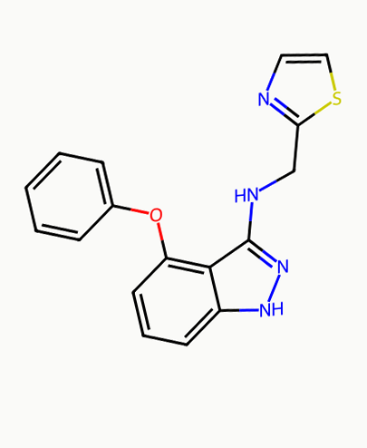 c1ccc(Oc2cccc3[nH]nc(NCc4nccs4)c23)cc1